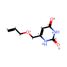 C=CCOCc1cc(=O)[nH]c(=O)[nH]1